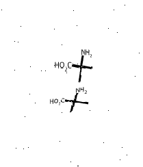 CC(C)(N)C(=O)O.CC(C)(N)C(=O)O